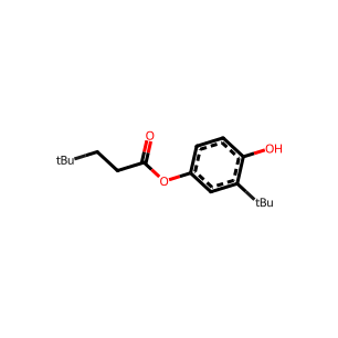 CC(C)(C)CCC(=O)Oc1ccc(O)c(C(C)(C)C)c1